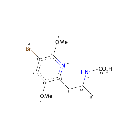 COc1cc(Br)c(OC)nc1CC(C)NC(=O)O